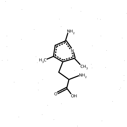 Cc1cc(N)nc(C)c1CC(N)C(=O)O